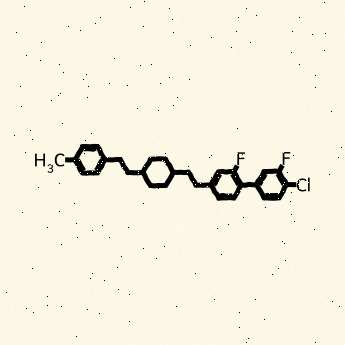 Cc1ccc(CCC2CCC(CCc3ccc(-c4ccc(Cl)c(F)c4)c(F)c3)CC2)cc1